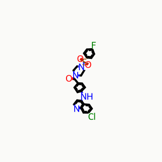 O=C(c1ccc(Nc2ccnc3cc(Cl)ccc23)cc1)N1CCN(S(=O)(=O)c2ccc(F)cc2)CC1